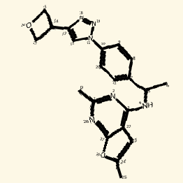 Cc1nc(NC(C)c2ccc(-n3cc(C4COC4)nn3)cc2)c2cc(C)oc2n1